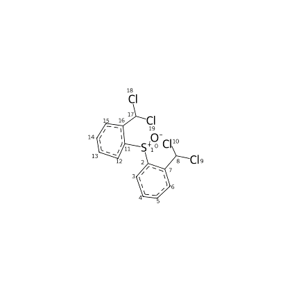 [O-][S+](c1ccccc1C(Cl)Cl)c1ccccc1C(Cl)Cl